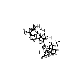 CCOC(=O)C1(NP(=O)(NC(C)C)OC[C@H]2O[C@@H](n3cnc4c(OC)nc(N)nc43)C(C)(O)C2O)CCCC1